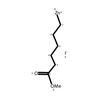 COC(=O)CCCC[CH2][Zn+].[I-]